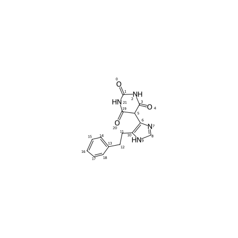 O=C1NC(=O)C(c2nc[nH]c2CCc2ccccc2)C(=O)N1